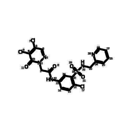 O=C(Cn1ncc(Cl)c(Cl)c1=O)Nc1ccc(Cl)c(S(=O)(=O)NCc2ccccn2)c1